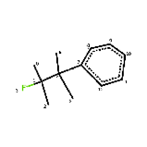 CC(C)(F)C(C)(C)c1[c]cccc1